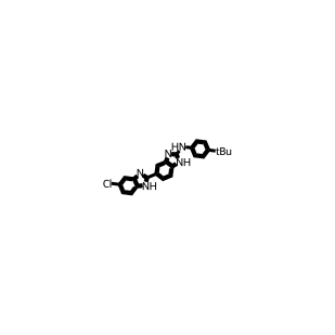 CC(C)(C)c1ccc(Nc2nc3cc(-c4nc5cc(Cl)ccc5[nH]4)ccc3[nH]2)cc1